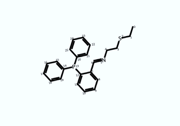 CCSCC/N=C/c1ccccc1P(c1ccccc1)c1ccccc1